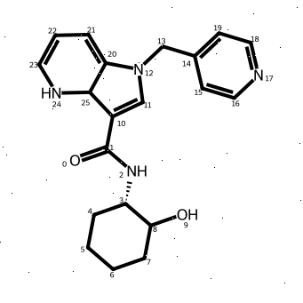 O=C(N[C@H]1CCCCC1O)C1=CN(Cc2ccncc2)C2=CC=CNC12